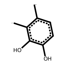 [CH2]c1ccc(O)c(O)c1[CH2]